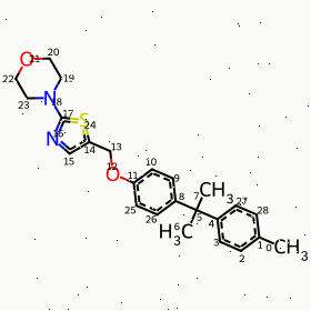 Cc1ccc(C(C)(C)c2ccc(OCc3cnc(N4CCOCC4)s3)cc2)cc1